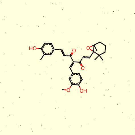 COc1cc(/C=C(/C(=O)/C=C/c2ccc(O)c(C)c2)C(=O)/C=C/C23OC2(C)CCCC3(C)C)ccc1O